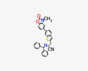 Cn1c(=O)oc2ccc(-c3ccc4cc(CC(C#N)N=C(c5ccccc5)c5ccccc5)sc4c3)cc21